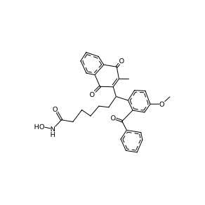 COc1ccc(C(CCCCCC(=O)NO)C2=C(C)C(=O)c3ccccc3C2=O)c(C(=O)c2ccccc2)c1